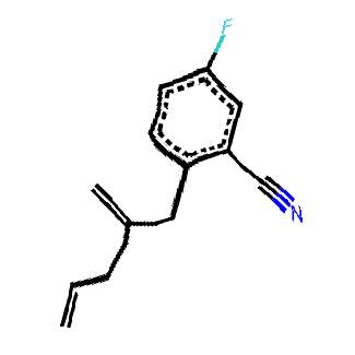 C=CCC(=C)Cc1ccc(F)cc1C#N